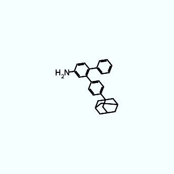 Nc1ccc(-c2ccccc2)c(-c2ccc(C34CC5CC(CC(C5)C3)C4)cc2)c1